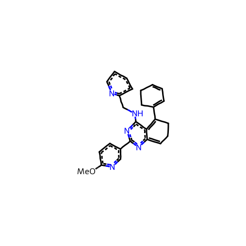 COc1ccc(-c2nc(NCc3ccccn3)c3c(n2)=CCCC=3C2=CC=CCC2)cn1